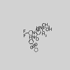 CC(C)(CO)Nc1ccc(C(=O)Nc2cccc(S(=O)(=O)C3CCCC3)c2)c(N2CCC(=C(F)F)CC2)n1